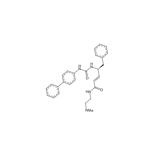 CNCCNC(=O)/C=C/[C@H](Cc1ccccc1)NC(=O)Nc1ccc(-c2ccccc2)cc1